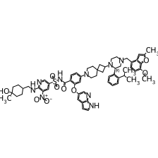 COc1ccc(CN2CCN(C3CC4(CCN(c5ccc(C(=O)NS(=O)(=O)c6cnc(NCC7CCC(C)(O)CC7)c([N+](=O)[O-])c6)c(Oc6cnc7[nH]ccc7c6)c5)CC4)C3)[C@H](c3ccccc3C(C)C)C2)c2cc(C)oc12